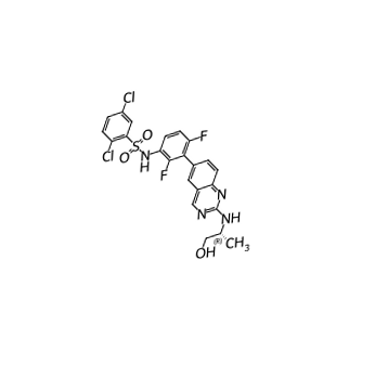 C[C@H](CO)Nc1ncc2cc(-c3c(F)ccc(NS(=O)(=O)c4cc(Cl)ccc4Cl)c3F)ccc2n1